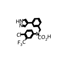 O=C(O)N(Cc1cccc(-c2cn[nH]c2)c1)c1ccc(Cl)c(C(F)(F)F)c1